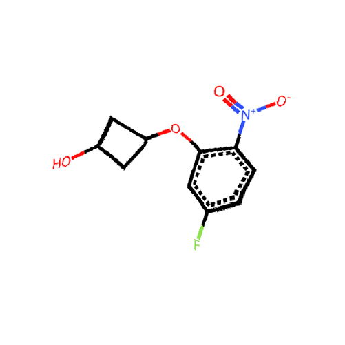 O=[N+]([O-])c1ccc(F)cc1OC1CC(O)C1